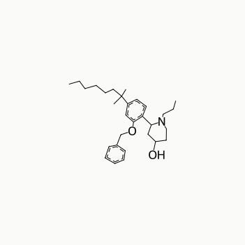 CCCCCCC(C)(C)c1ccc(C2CC(O)CCN2CCC)c(OCc2ccccc2)c1